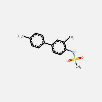 Cc1ccc(-c2ccc(NS(C)(=O)=O)c(C)c2)cc1